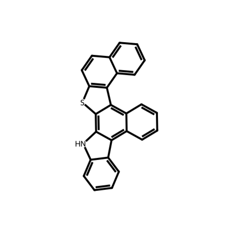 c1ccc2c(c1)ccc1sc3c4[nH]c5ccccc5c4c4ccccc4c3c12